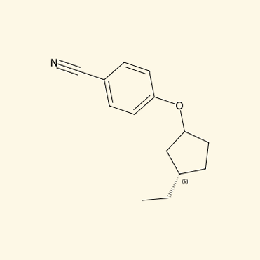 CC[C@H]1CCC(Oc2ccc(C#N)cc2)C1